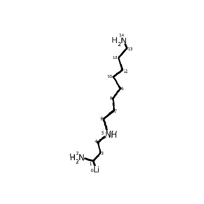 [Li][CH](N)CCNCCCCCCCCN